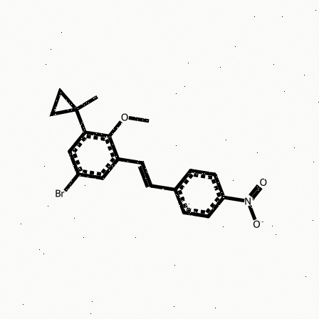 COc1c(/C=C/c2ccc([N+](=O)[O-])cc2)cc(Br)cc1C1(C)CC1